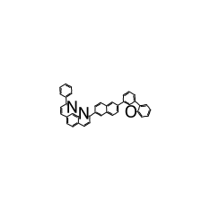 c1ccc(-c2ccc3ccc4ccc(-c5ccc6cc(-c7cccc8c7oc7ccccc78)ccc6c5)nc4c3n2)cc1